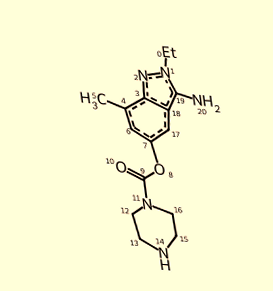 CCn1nc2c(C)cc(OC(=O)N3CCNCC3)cc2c1N